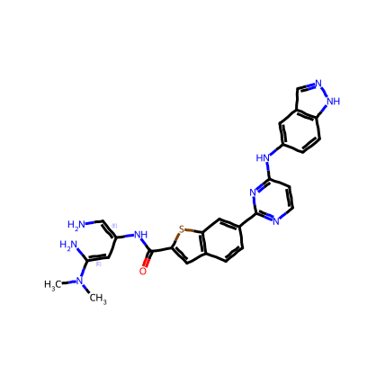 CN(C)/C(N)=C/C(=C\N)NC(=O)c1cc2ccc(-c3nccc(Nc4ccc5[nH]ncc5c4)n3)cc2s1